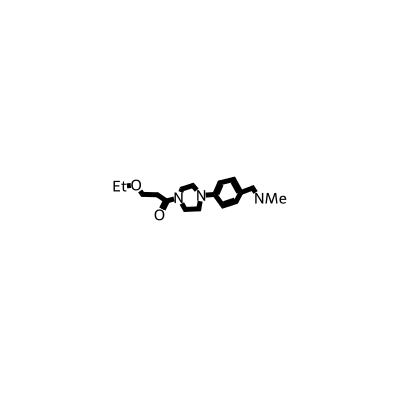 CCOCCC(=O)N1CCN(c2ccc(CNC)cc2)CC1